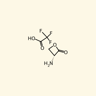 N[C@@H]1COC1=O.O=C(O)C(F)(F)F